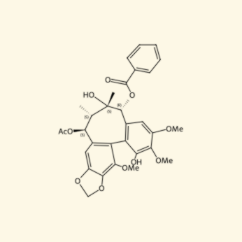 COc1cc2c(c(O)c1OC)-c1c(cc3c(c1OC)OCO3)[C@@H](OC(C)=O)[C@H](C)[C@](C)(O)[C@@H]2OC(=O)c1ccccc1